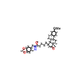 COc1ccc2c(c1)CCC1C2CC[C@]2(C)C(=O)C[C@@H](CCCCC(=O)NCc3ccc4c(c3)OCO4)C12